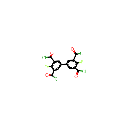 O=C(Cl)c1cc(-c2cc(C(=O)Cl)c(F)c(C(=O)Cl)c2)cc(C(=O)Cl)c1F